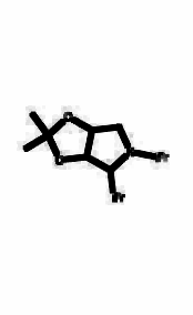 CC(C)C1C2OC(C)(C)OC2CN1C(C)C